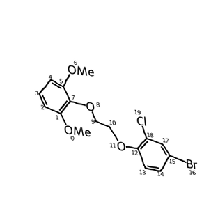 COc1cccc(OC)c1OCCOc1ccc(Br)cc1Cl